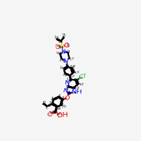 CCc1ccc(Oc2nc3nc(-c4ccc(N5CCN(S(=O)(=O)C(C)C)CC5)cc4)c(Cl)cc3[nH]2)cc1C(=O)O